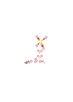 O.O.O.O.O.O=S(=O)([O-])[O-].[Ni+2]